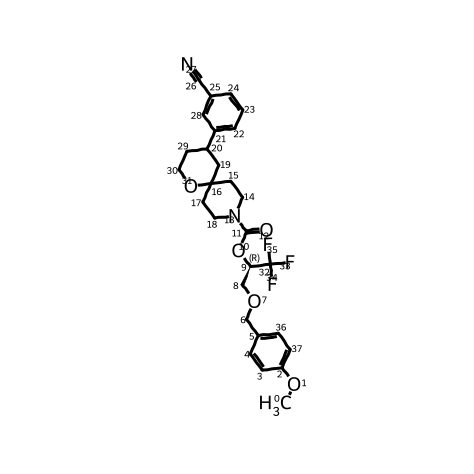 COc1ccc(COC[C@@H](OC(=O)N2CCC3(CC2)CC(c2cccc(C#N)c2)CCO3)C(F)(F)F)cc1